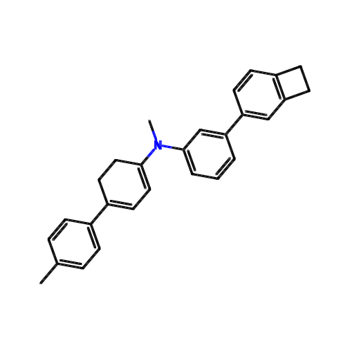 Cc1ccc(C2=CC=C(N(C)c3cccc(-c4ccc5c(c4)CC5)c3)CC2)cc1